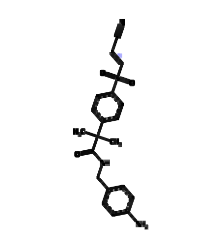 CC(C)(C(=O)NCc1ccc(N)cc1)c1ccc(S(=O)(=O)/C=C/C#N)cc1